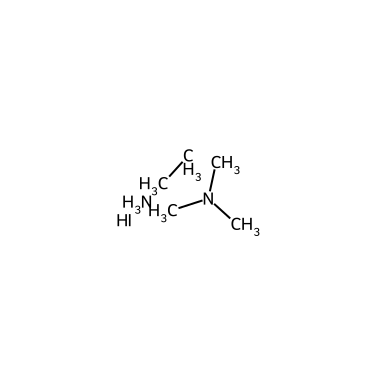 CC.CN(C)C.I.N